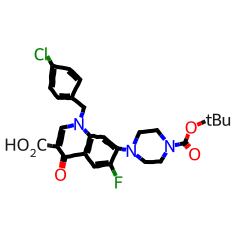 CC(C)(C)OC(=O)N1CCN(c2cc3c(cc2F)c(=O)c(C(=O)O)cn3Cc2ccc(Cl)cc2)CC1